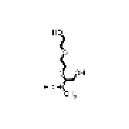 CN(C)C(CO)OCCOCCO